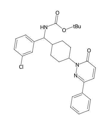 CC(C)(C)OC(=O)NC(c1cccc(Cl)c1)C1CCC(n2nc(-c3ccccc3)ccc2=O)CC1